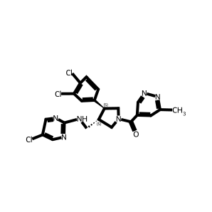 Cc1cc(C(=O)N2C[C@H](CNc3ncc(Cl)cn3)[C@@H](c3ccc(Cl)c(Cl)c3)C2)cnn1